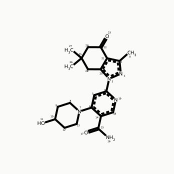 Cc1nn(-c2cc(N3CCC(O)CC3)c(C(N)=O)cn2)c2c1C(=O)CC(C)(C)C2